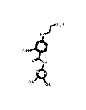 CC(=O)Nc1cc(NCCC(=O)O)ccc1C(=O)Nc1nc(C)c([N+](=O)[O-])s1